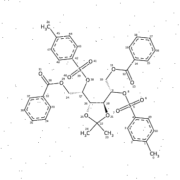 Cc1ccc(S(=O)(=O)O[C@@H](COC(=O)c2ccccc2)[C@H]2OC(C)(C)O[C@@H]2[C@H](COC(=O)c2ccccc2)OS(=O)(=O)c2ccc(C)cc2)cc1